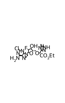 CCOC(=O)C(OC[C@H]1O[C@@H](n2cnc3c(N)nc(Cl)nc32)[C@@H](F)[C@@H]1O)c1nn[nH]n1